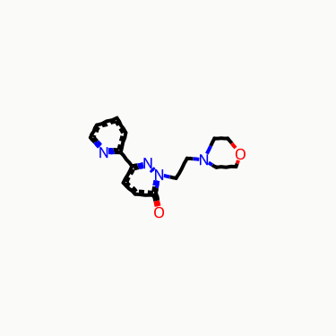 O=c1ccc(-c2ccccn2)nn1CCN1CCOCC1